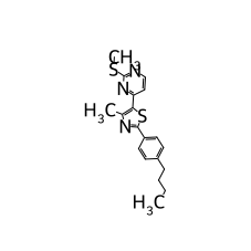 CCCCc1ccc(-c2nc(C)c(-c3ccnc(SC)n3)s2)cc1